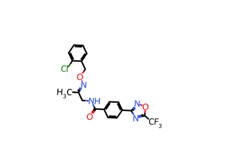 CC(CNC(=O)c1ccc(-c2noc(C(F)(F)F)n2)cc1)=NOCc1ccccc1Cl